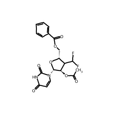 CC(=O)O[C@@H]1C(C(F)F)[C@@H](COC(=O)c2ccccc2)O[C@H]1n1ccc(=O)[nH]c1=O